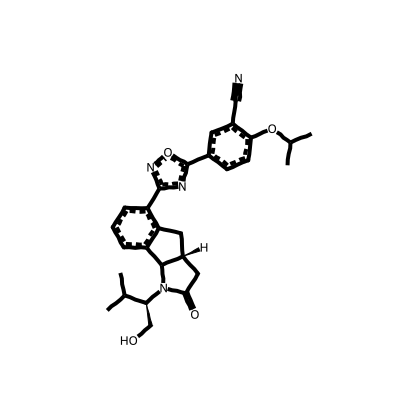 CC(C)Oc1ccc(-c2nc(-c3cccc4c3C[C@@H]3CC(=O)N([C@@H](CO)C(C)C)C43)no2)cc1C#N